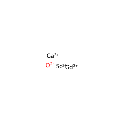 [Ga+3].[Gd+3].[O-2].[Sc+3]